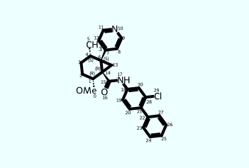 CO[C@@H]1CC[C@H](C)[C@]2(c3ccncc3)C[C@]12C(=O)Nc1ccc(-c2ccccc2)c(Cl)c1